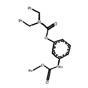 CC(C)CN(CC(C)C)C(=O)Oc1cccc(NC(=O)OC(C)C)c1